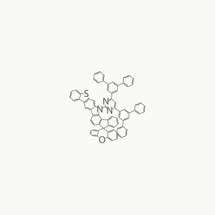 c1ccc(-c2cc(-c3ccccc3)cc(-c3cc(-c4cc(-c5ccccc5)cc(-c5ccccc5)c4)nc(-n4c5cc6sc7ccccc7c6cc5c5ccc6c(c54)-c4ccccc4C64c5ccccc5Oc5ccccc54)n3)c2)cc1